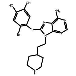 Nc1ncnc2c1nc(Sc1cc(O)c(O)cc1Br)n2CCC1CCNCC1